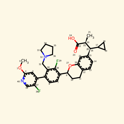 COc1cc(-c2ccc(C3CCc4ccc([C@H](C5CC5)[C@H](C)C(=O)O)cc4O3)c(F)c2CN2CCCC2)c(F)cn1